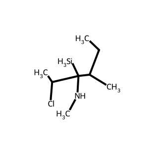 CCC(C)C([SiH3])(NC)C(C)Cl